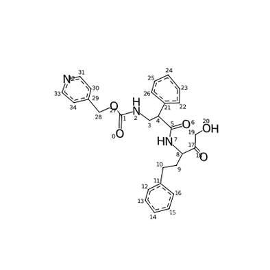 O=C(NCC(C(=O)NC(CCc1ccccc1)C(=O)CO)c1ccccc1)OCc1ccncc1